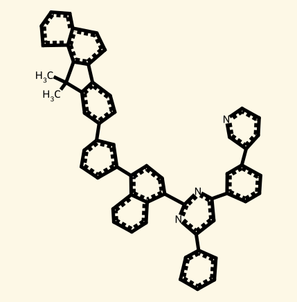 CC1(C)c2cc(-c3cccc(-c4ccc(-c5nc(-c6ccccc6)cc(-c6cccc(-c7cccnc7)c6)n5)c5ccccc45)c3)ccc2-c2ccc3ccccc3c21